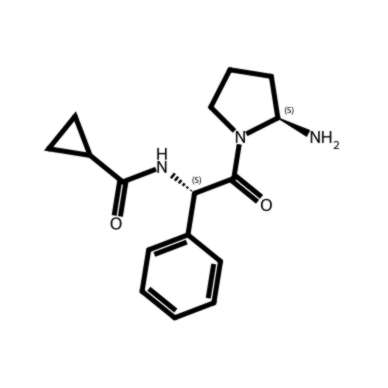 N[C@@H]1CCCN1C(=O)[C@@H](NC(=O)C1CC1)c1ccccc1